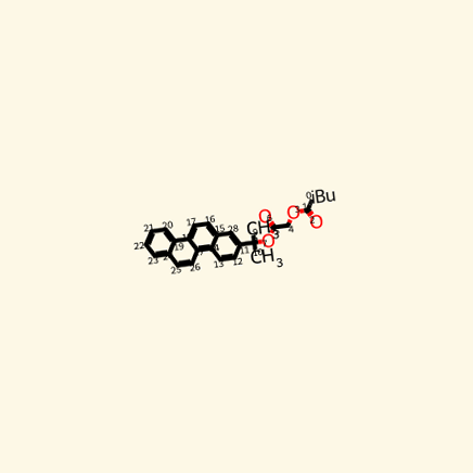 CCC(C)C(=O)OCC(=O)OC(C)(C)c1ccc2c(ccc3c4ccccc4ccc23)c1